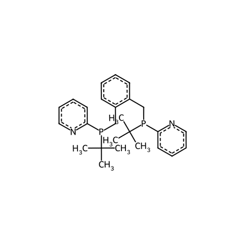 CC(C)(C)P(Cc1ccccc1CP(c1ccccn1)C(C)(C)C)c1ccccn1